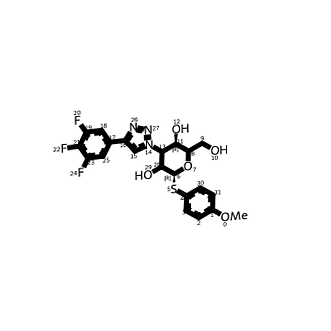 COc1ccc(S[C@H]2OC(CO)[C@H](O)C(n3cc(-c4cc(F)c(F)c(F)c4)nn3)C2O)cc1